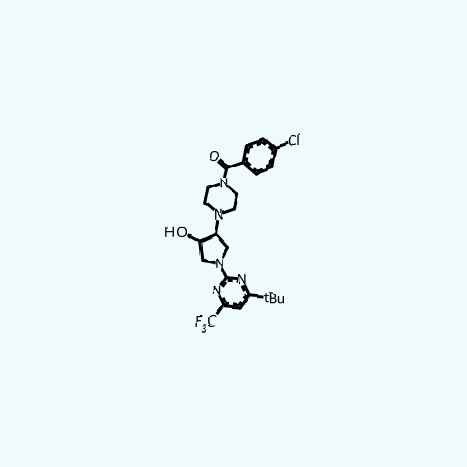 CC(C)(C)c1cc(C(F)(F)F)nc(N2CC(O)C(N3CCN(C(=O)c4ccc(Cl)cc4)CC3)C2)n1